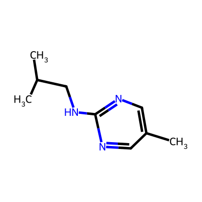 Cc1cnc(NCC(C)C)nc1